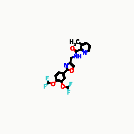 Cc1cccnc1C(=O)NCc1coc(-c2ccc(OC(F)F)c(OC(F)F)c2)n1